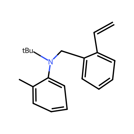 C=Cc1ccccc1CN(c1ccccc1C)C(C)(C)C